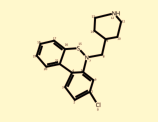 Clc1ccc2c(c1)N(CC1CCNCC1)Sc1ccccc1-2